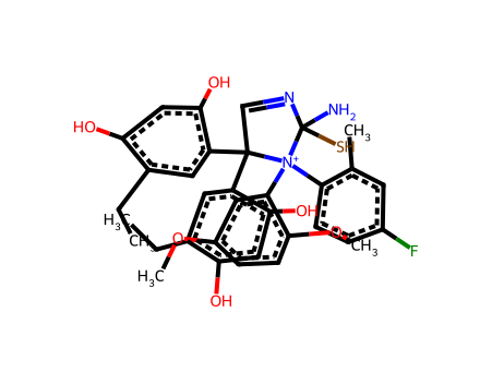 CCc1cc(C2(c3cc(CC)c(O)cc3O)C=NC(N)(S)[N+]2(c2ccc(F)cc2C)c2cc(OC)ccc2OC)c(O)cc1O